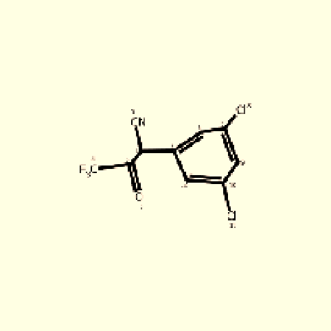 N#CC(C(=O)C(F)(F)F)c1cc(Cl)cc(Cl)c1